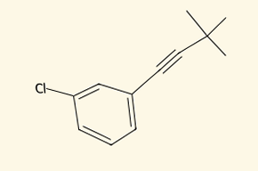 CC(C)(C)C#Cc1cccc(Cl)c1